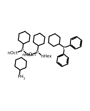 CCCCCCCCP(CCCCCCCC)C1CCCCC1.CCCCCCP(CCCCCC)C1CCCCC1.PC1CCCCC1.c1ccc(P(c2ccccc2)C2CCCCC2)cc1